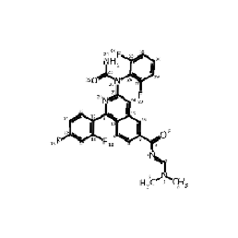 CN(C)/C=N/C(=O)c1ccc2c(-c3ccc(F)cc3F)nc(N(C(N)=O)c3c(F)cccc3F)cc2c1